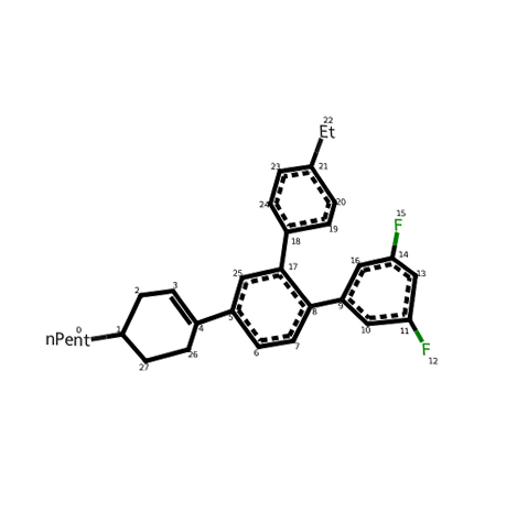 CCCCCC1CC=C(c2ccc(-c3cc(F)cc(F)c3)c(-c3ccc(CC)cc3)c2)CC1